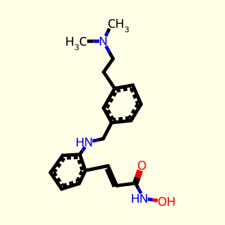 CN(C)CCc1cccc(CNc2ccccc2C=CC(=O)NO)c1